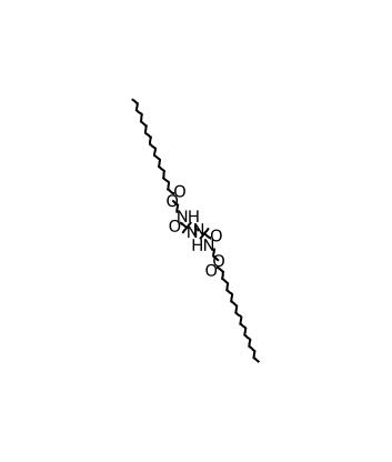 CCCCCCCCCCCCCCCCCC(=O)OCCNC(=O)C(C)(C)N=NC(C)(C)C(=O)NCCOC(=O)CCCCCCCCCCCCCCCCC